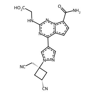 N#CC[C@]1(n2cc(-c3nc(NCC(=O)O)nn4c(C(N)=O)ccc34)cn2)C[C@H](C#N)C1